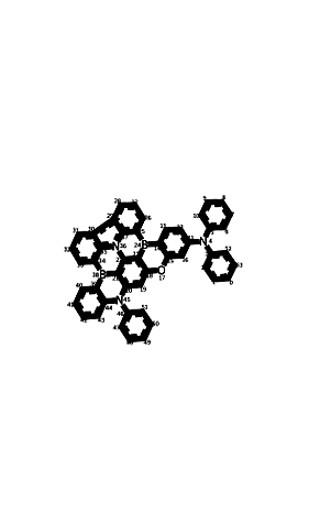 c1ccc(N(c2ccccc2)c2ccc3c(c2)Oc2cc4c5c6c2B3c2cccc3c7cccc(c7n-6c23)B5c2ccccc2N4c2ccccc2)cc1